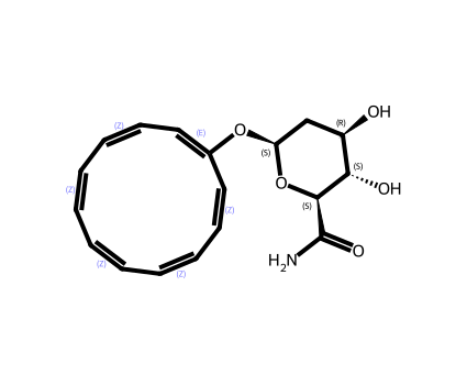 NC(=O)[C@H]1O[C@@H](OC2=C/C=C\C=C/C=C\C=C/C=C\2)C[C@@H](O)[C@@H]1O